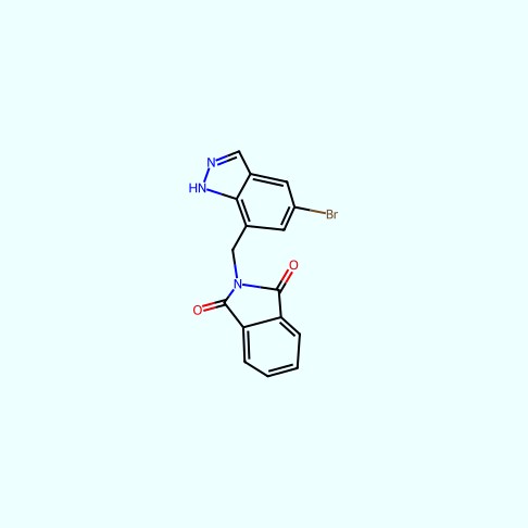 O=C1c2ccccc2C(=O)N1Cc1cc(Br)cc2cn[nH]c12